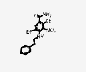 CCc1cc(C(N)=O)c(CC)c([N+](=O)[O-])c1NCCc1ccccc1